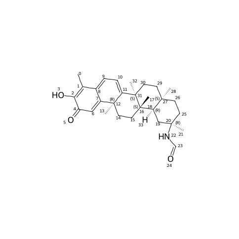 CC1=C(O)C(=O)C=C2C1=CC=C1[C@@]2(C)CC[C@@]2(C)[C@@H]3C[C@](C)(NC=O)CC[C@]3(C)CC[C@]12C